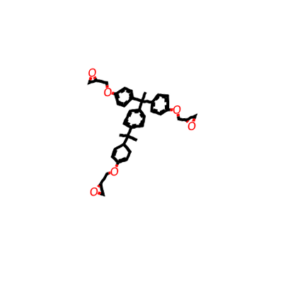 CC(c1ccc(OCC2CO2)cc1)(c1ccc(OCC2CO2)cc1)c1ccc(C(C)(C)C2C=CC(OCC3CO3)=CC2)cc1